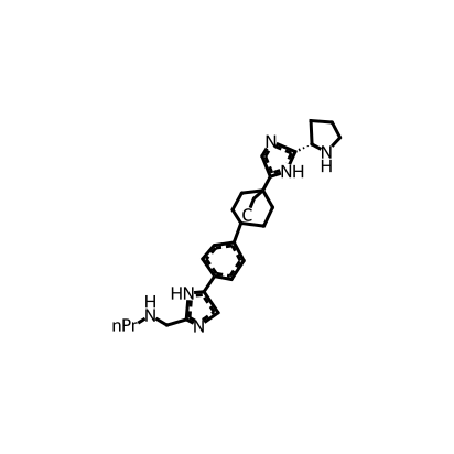 CCCNCc1ncc(-c2ccc(C34CCC(c5cnc([C@@H]6CCCN6)[nH]5)(CC3)CC4)cc2)[nH]1